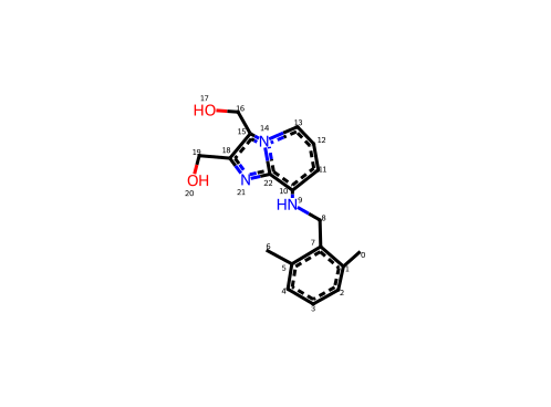 Cc1cccc(C)c1CNc1cccn2c(CO)c(CO)nc12